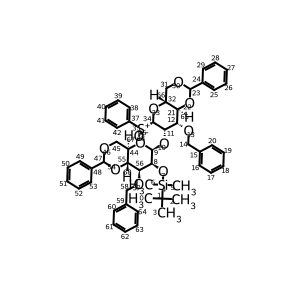 CC(C)(C)[Si](C)(C)O[C@@H]1[C@H](O[C@H]2[C@@H](OCc3ccccc3)[C@@H]3OC(c4ccccc4)OC[C@H]3O[C@@H]2[S+]([O-])c2ccccc2)O[C@@H]2COC(c3ccccc3)O[C@H]2[C@@H]1OCc1ccccc1